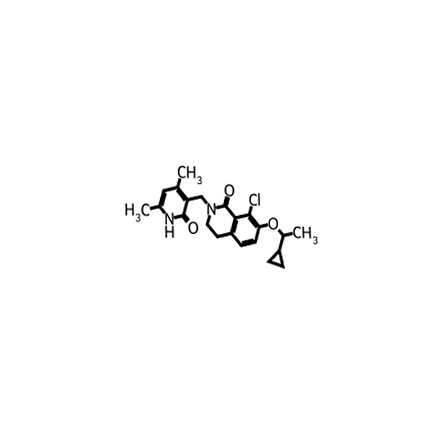 Cc1cc(C)c(CN2CCc3ccc(OC(C)C4CC4)c(Cl)c3C2=O)c(=O)[nH]1